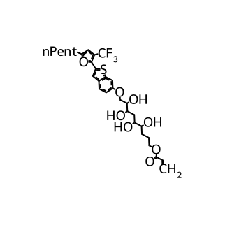 C=CC(=O)OCCCC(O)C(O)CC(O)C(O)COc1ccc2cc(-c3oc(CCCCC)cc3C(F)(F)F)sc2c1